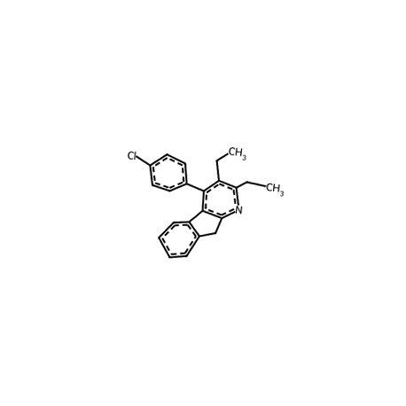 CCc1nc2c(c(-c3ccc(Cl)cc3)c1CC)-c1ccccc1C2